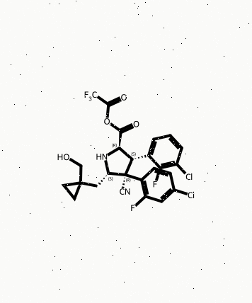 N#C[C@]1(c2ccc(Cl)cc2F)[C@H](CC2(CO)CC2)N[C@@H](C(=O)OC(=O)C(F)(F)F)[C@@H]1c1cccc(Cl)c1F